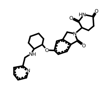 O=C1CCC(N2Cc3cc(OC4CCCCC4NCc4ccccn4)ccc3C2=O)C(=O)N1